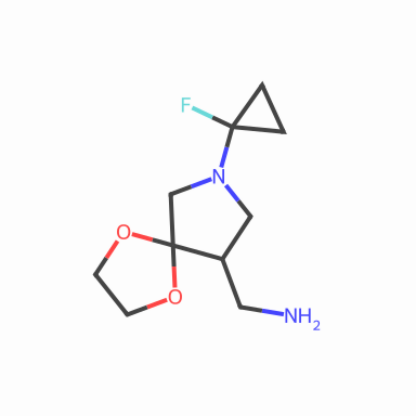 NCC1CN(C2(F)CC2)CC12OCCO2